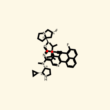 CC(C)[Si](C#Cc1c(F)ccc2cccc(-c3ncc4c(N(C)[C@@H]5CCN[C@@H]5C5CC5)nc(OC[C@@]56CCCN5C[C@H](F)C6)nc4c3F)c12)(C(C)C)C(C)C